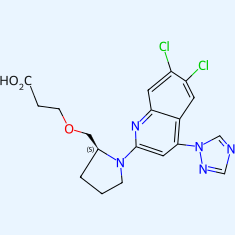 O=C(O)CCOC[C@@H]1CCCN1c1cc(-n2cncn2)c2cc(Cl)c(Cl)cc2n1